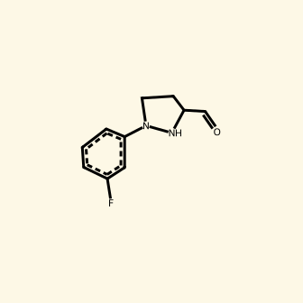 O=CC1CCN(c2cccc(F)c2)N1